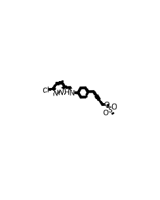 CS(=O)(=O)OCC#CCC1CCC(NCc2ccc(Cl)nn2)CC1